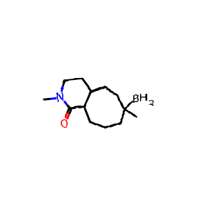 BC1(C)CCCC2C(=O)N(C)CCC2CC1